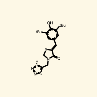 CC(C)(C)c1cc(/C=C2\SCN(Cc3nnn[nH]3)C2=O)cc(C(C)(C)C)c1O